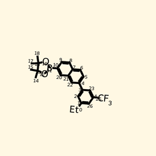 CCc1cc(-c2ccc3ccc(B4OC(C)(C)C(C)(C)O4)cc3c2)cc(C(F)(F)F)c1